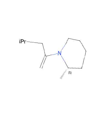 C=C(CC(C)C)N1CCCC[C@@H]1C